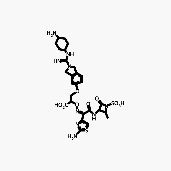 CC1C(NC(=O)/C(=N\OC(COc2ccc3c(c2)CN(C(=N)NC2CCC(N)CC2)C3)C(=O)O)c2csc(N)n2)C(=O)N1S(=O)(=O)O